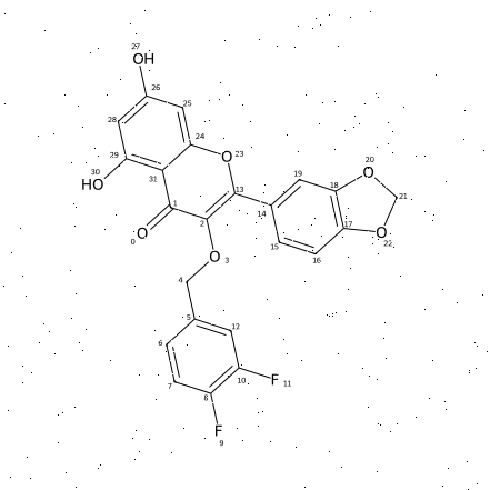 O=c1c(OCc2ccc(F)c(F)c2)c(-c2ccc3c(c2)OCO3)oc2cc(O)cc(O)c12